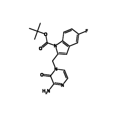 CC(C)(C)OC(=O)n1c(Cn2ccnc(N)c2=O)cc2cc(F)ccc21